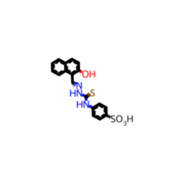 O=S(=O)(O)c1ccc(NC(=S)N/N=C/c2c(O)ccc3ccccc23)cc1